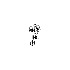 O=C(NCCc1ccccn1)c1ccc2c(c1)NC(=O)c1cccn1S2(=O)=O